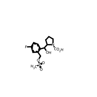 CS(=O)(=O)OCc1cc(F)ccc1C(O)C1CCCN1C(=O)O